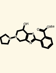 COC(=O)c1ccccc1-c1nc2c(s1)C(O)CN(N1CCCC1)C2